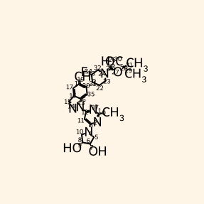 Cc1nc(N2C[C@@H](O)[C@@H](O)C2)cc(-n2ncc3cc(C)c([C@H]4CCN(C(=O)OC(C)(C)C)C[C@H]4F)cc32)n1